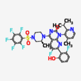 Cc1ccnc(C(C)C)c1-n1c(=O)nc(N2CCN(S(=O)(=O)c3c(F)c(F)c(F)c(F)c3F)C[C@@H]2C)c2cc(F)c(-c3c(O)cccc3F)nc21